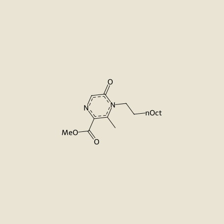 CCCCCCCCCCn1c(C)c(C(=O)OC)ncc1=O